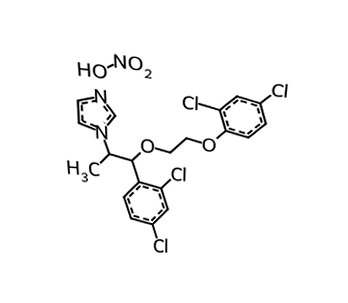 CC(C(OCCOc1ccc(Cl)cc1Cl)c1ccc(Cl)cc1Cl)n1ccnc1.O=[N+]([O-])O